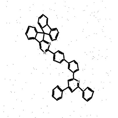 c1ccc(-c2cc(-c3ccccc3)nc(-c3cccc(-c4ccc(-c5ncc6c(n5)C5(c7ccccc7-c7ccccc75)c5ccccc5-6)cc4)c3)c2)cc1